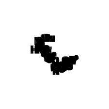 Cc1c(Oc2ccnc3ccc(S(=O)(=O)C4CC(C)C4)cc23)ccc(CC(=O)Nc2cnn(C(C)(C)C)c2)c1F